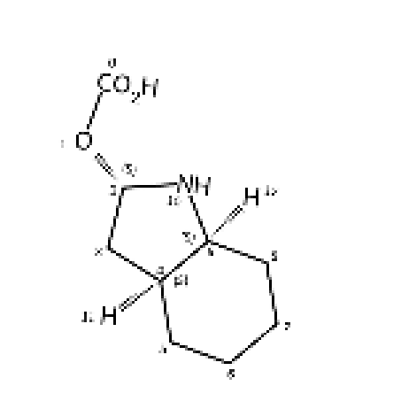 O=C(O)O[C@H]1C[C@@H]2CCCC[C@@H]2N1